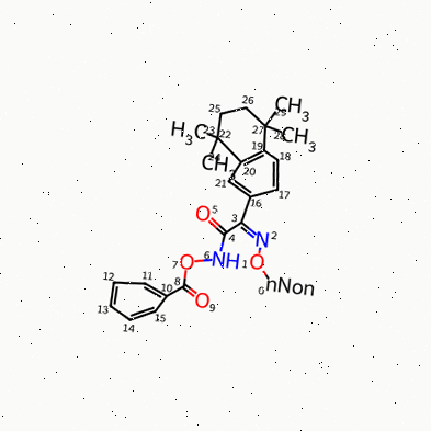 CCCCCCCCCON=C(C(=O)NOC(=O)c1ccccc1)c1ccc2c(c1)C(C)(C)CCC2(C)C